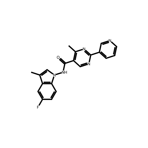 Cc1nc(-c2cccnc2)ncc1C(=O)Nn1cc(C)c2cc(F)ccc21